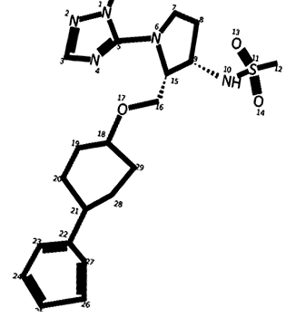 Cn1ncnc1N1CC[C@H](NS(C)(=O)=O)[C@@H]1COC1CCC(c2ccccc2)CC1